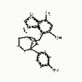 COc1cc(C)c2[nH]ccc2c1CN1[C@H]2CCCC1(c1ccc(C(=O)O)cc1)CC2